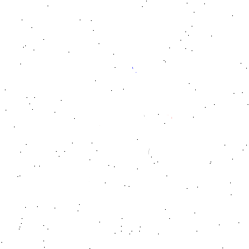 Cc1c(C(=C=O)CC#N)sc2ccccc12